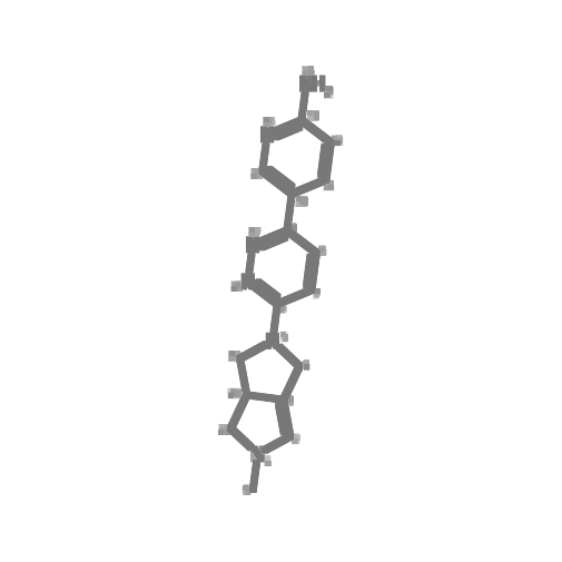 CN1C=C2CN(c3ccc(-c4ccc(N)nc4)nn3)CC2C1